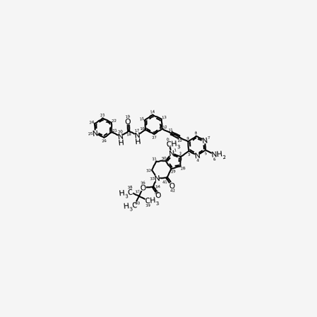 Cn1c(-c2nc(N)ncc2C#Cc2cccc(NC(=O)Nc3cccnc3)c2)cc2c1CCN(C(=O)OC(C)(C)C)C2=O